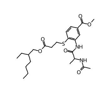 CCCCC(CC)COC(=O)CCSc1ccc(C(=O)OC)cc1NC(=O)C(C)NC(C)=O